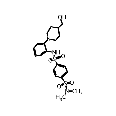 CN(C)S(=O)(=O)c1ccc(S(=O)(=O)Nc2ccccc2N2CCC(CO)CC2)cc1